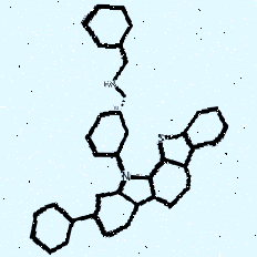 C1CCC(CNC[C@H]2CCCC(N3C4CC(C5CCCCC5)CCC4C4CCC5C6CCCCC6SC5C43)C2)CC1